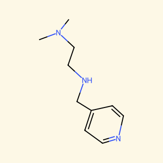 CN(C)CCNCc1ccncc1